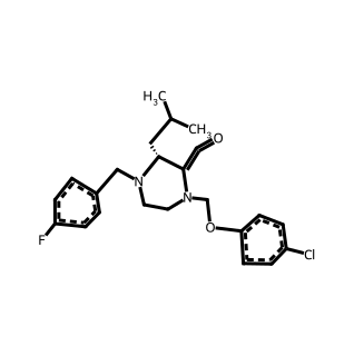 CC(C)C[C@@H]1C(=C=O)N(COc2ccc(Cl)cc2)CCN1Cc1ccc(F)cc1